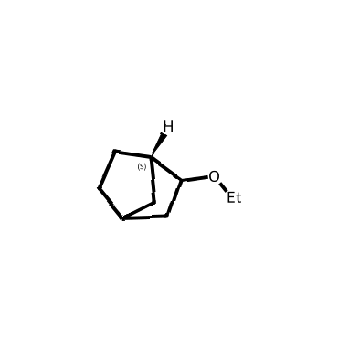 CCOC1CC2CC[C@H]1C2